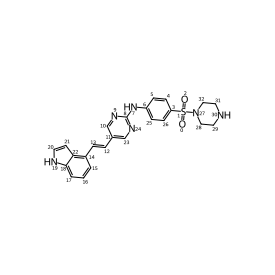 O=S(=O)(c1ccc(Nc2ncc(C=Cc3cccc4[nH]ccc34)cn2)cc1)N1CCNCC1